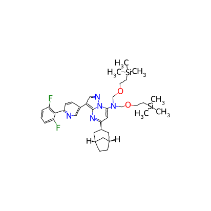 C[Si](C)(C)CCOCN(COCC[Si](C)(C)C)c1cc([C@H]2C[C@@H]3CC[C@@H](C3)C2)nc2c(-c3ccc(-c4c(F)cccc4F)nc3)cnn12